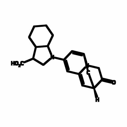 O=C(O)C1CN(C2=CC3=C[C@@H]4CC(=C2)N3CC4=O)C2CCCCC12